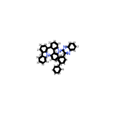 c1ccc(-c2ccc(-c3nc4ccccc4nc3-n3c4cccc5c6cccc7c8ccccc8n(c8cccc3c8c54)c67)cc2)cc1